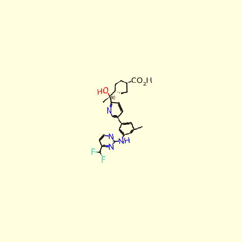 Cc1cc(Nc2nccc(C(F)F)n2)cc(-c2ccc([C@](C)(O)[C@H]3CC[C@H](C(=O)O)CC3)nc2)c1